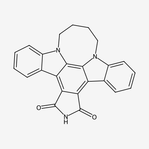 O=C1NC(=O)c2c1c1c3ccccc3n3c1c1c2c2ccccc2n1CCCC3